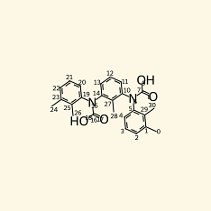 Cc1cccc(N(C(=O)O)c2cccc(N(C(=O)O)c3cccc(C)c3C)c2C)c1C